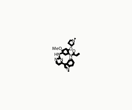 C=CC(=O)Nc1cc(Nc2nccc(-c3cn(C)c4ccccc34)n2)c(OC)cc1O[C@@H]1CCN(C)C1